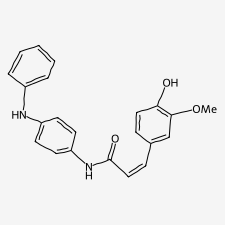 COc1cc(/C=C\C(=O)Nc2ccc(Nc3ccccc3)cc2)ccc1O